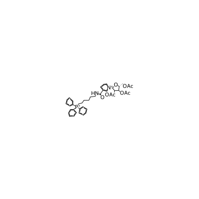 CC(=O)OC[C@H]1O[C@@H]([n+]2cccc(C(=O)NCCCCCC[P+](c3ccccc3)(c3ccccc3)c3ccccc3)c2)[C@H](OC(C)=O)[C@@H]1OC(C)=O